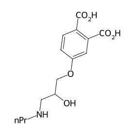 CCCNCC(O)COc1ccc(C(=O)O)c(C(=O)O)c1